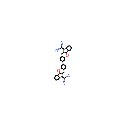 N#CC(C#N)=C1/C(=C/c2ccc(-c3ccc(/C=C4\C(=O)c5ccccc5C4=C(C#N)C#N)cc3)cc2)C(=O)c2ccccc21